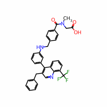 CN(CC(=O)O)C(=O)c1ccc(CNc2cccc(-c3c(Cc4ccccc4)cnc4c(C(F)(F)F)cccc34)c2)cc1